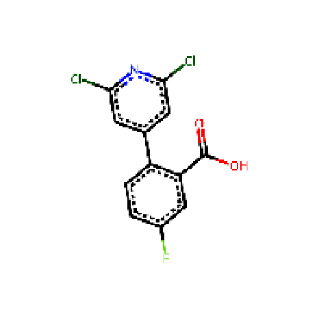 O=C(O)c1cc(F)ccc1-c1cc(Cl)nc(Cl)c1